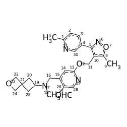 Cc1ccc(-c2noc(C)c2COc2cc(CN(C)C3CC4(COC4)C3)c(C=O)cn2)cn1